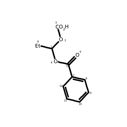 CCC(OC(=O)O)OC(=O)c1ccccc1